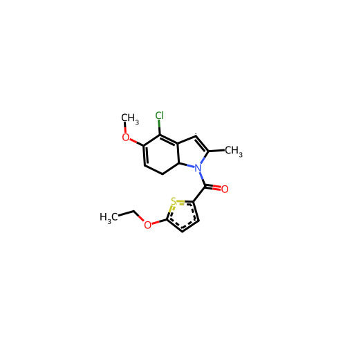 CCOc1ccc(C(=O)N2C(C)=[C]C3=C(Cl)C(OC)=CCC32)s1